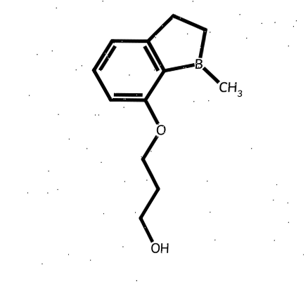 CB1CCc2cccc(OCCCO)c21